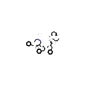 COC(=O)[C@@H]1CCC[C@@H]2SCCC(NC(=O)[C@H](CC[C@H](Cc3ccccc3)C(=O)NC3C/C=C\CCN(Cc4ccccc4)C3=O)Cc3ccccc3)C(=O)N21